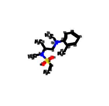 C=CS(=O)(=O)N(C)C(C)CN(C)c1ccccc1C